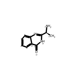 C[C@H](N)c1nc2ccccc2c(=O)[nH]1